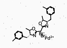 Cc1cccc(C[C@H]2N=C(CC3=N[C@H](Cc4cccc(C)c4)C(C)O3)OC2C)c1.[Br-].[Br-].[Pd+2]